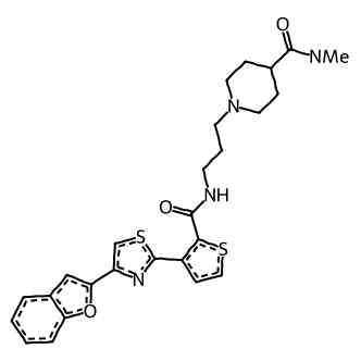 CNC(=O)C1CCN(CCCNC(=O)c2sccc2-c2nc(-c3cc4ccccc4o3)cs2)CC1